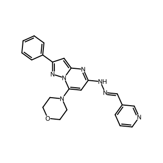 C(=NNc1cc(N2CCOCC2)n2nc(-c3ccccc3)cc2n1)c1cccnc1